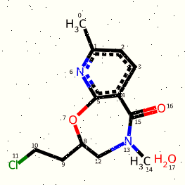 Cc1ccc2c(n1)OC(CCCl)CN(C)C2=O.O